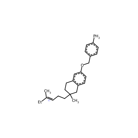 CC/C(C)=C/CCC1(C)CCc2cc(OCc3ccc(P)cc3)ccc2C1